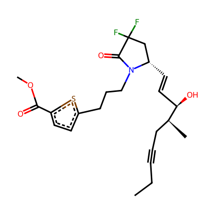 CCC#CC[C@H](C)[C@H](O)C=C[C@H]1CC(F)(F)C(=O)N1CCCc1ccc(C(=O)OC)s1